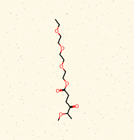 CCOCCOCCOCCOC(=O)CCC(=O)C(C)OC